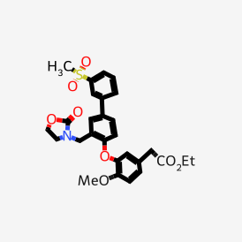 CCOC(=O)Cc1ccc(OC)c(Oc2ccc(-c3cccc(S(C)(=O)=O)c3)cc2CN2CCOC2=O)c1